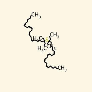 CCCCC/C=C\C/C=C\C/C=C\C/C=C\CCCCC(CC)(CCC)SC(CC)(CCC)CCCC/C=C\C/C=C\C/C=C\C/C=C\CCCCC